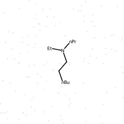 [CH2]CCN(CC)CCCCCC